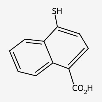 O=C(O)c1ccc(S)c2ccccc12